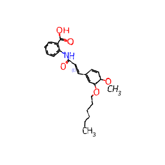 CCCCCCOC1C=C(/C=C/C(=O)Nc2ccccc2C(=O)O)C=CC1OC